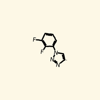 Fc1cccc(-n2c[c]nn2)c1F